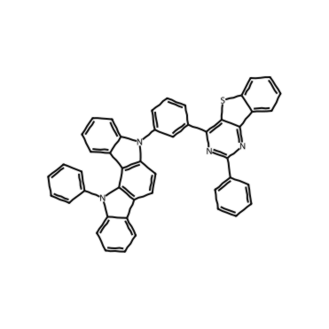 c1ccc(-c2nc(-c3cccc(-n4c5ccccc5c5c4ccc4c6ccccc6n(-c6ccccc6)c45)c3)c3sc4ccccc4c3n2)cc1